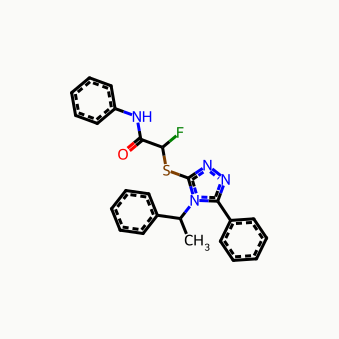 CC(c1ccccc1)n1c(SC(F)C(=O)Nc2ccccc2)nnc1-c1ccccc1